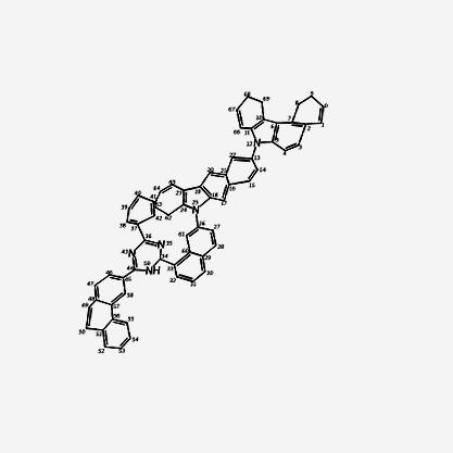 C1=Cc2ccc3c(c2CC1)c1c(n3-c2ccc3cc4c(cc3c2)c2c(n4-c3ccc4cccc(C5N=C(c6ccccc6)N=C(c6ccc7ccc8ccccc8c7c6)N5)c4c3)CCC=C2)C=CCC1